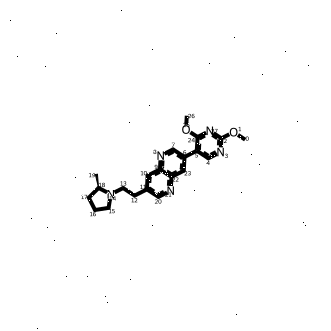 COc1ncc(-c2cnc3cc(CCN4CCC[C@H]4C)cnc3c2)c(OC)n1